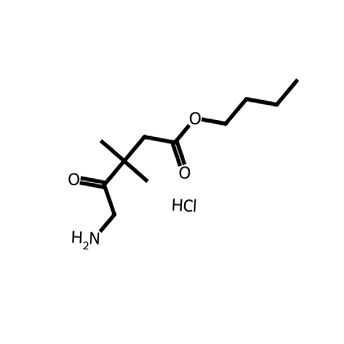 CCCCOC(=O)CC(C)(C)C(=O)CN.Cl